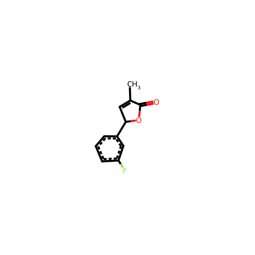 CC1=CC(c2cccc(F)c2)OC1=O